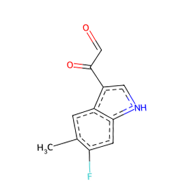 Cc1cc2c(C(=O)C=O)c[nH]c2cc1F